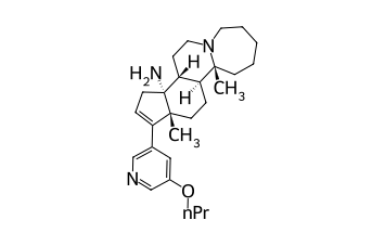 CCCOc1cncc(C2=CC[C@@]3(N)[C@@H]4CCN5CCCCC[C@]5(C)[C@H]4CC[C@]23C)c1